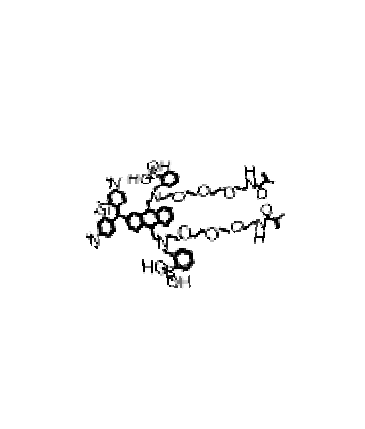 C=C(C)C(=O)NCCOCCOCCOCCN(Cc1ccccc1B(O)O)Cc1c2ccccc2c(CN(CCOCCOCCOCCNC(=O)C(=C)C)Cc2ccccc2B(O)O)c2cc(C3=C4C=CC(=[N+](C)C)C=C4[Si](C)(C)c4cc(N(C)C)ccc43)ccc12